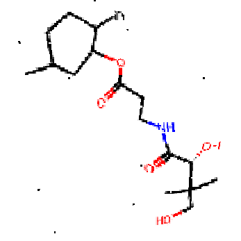 CC1CCC(C(C)C)C(OC(=O)CCNC(=O)[C@H](O)C(C)(C)CO)C1